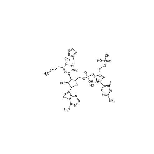 C=CCCC(=O)N(C)[C@H](Cc1cscn1)C(=O)OC1C(COP(=O)(O)O[C@H]2[C@@H](O)[C@H](n3ccc(N)nc3=O)O[C@@H]2COP(=O)(O)O)OC(n2cnc3c(N)ncnc32)C1O